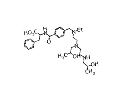 CCN(CCN(CCNC[C@H](C)O)C[C@H](C)O)Cc1ccc(C(=O)NC(Cc2ccccc2)C(=O)O)cc1